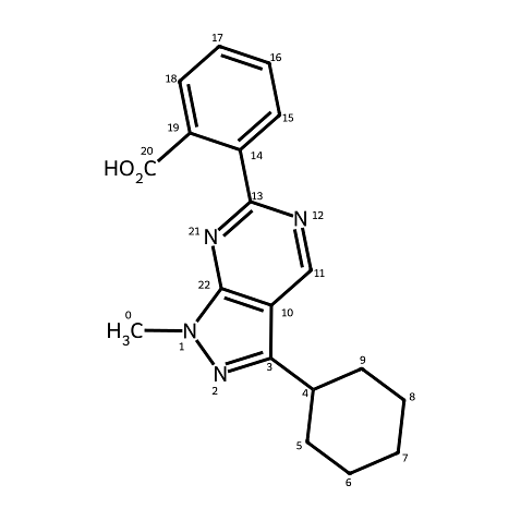 Cn1nc(C2CCCCC2)c2cnc(-c3ccccc3C(=O)O)nc21